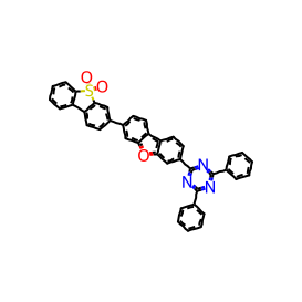 O=S1(=O)c2ccccc2-c2ccc(-c3ccc4c(c3)oc3cc(-c5nc(-c6ccccc6)nc(-c6ccccc6)n5)ccc34)cc21